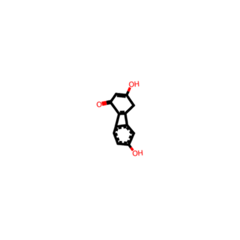 O=C1C=C(O)CC2=C1c1ccc(O)cc12